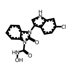 O=C(NO)n1c(=O)n(-c2c[nH]c3cc(Cl)ccc23)c2ccccc21